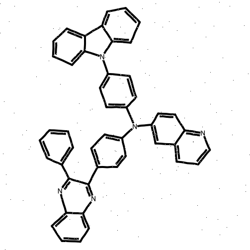 c1ccc(-c2nc3ccccc3nc2-c2ccc(N(c3ccc(-n4c5ccccc5c5ccccc54)cc3)c3ccc4ncccc4c3)cc2)cc1